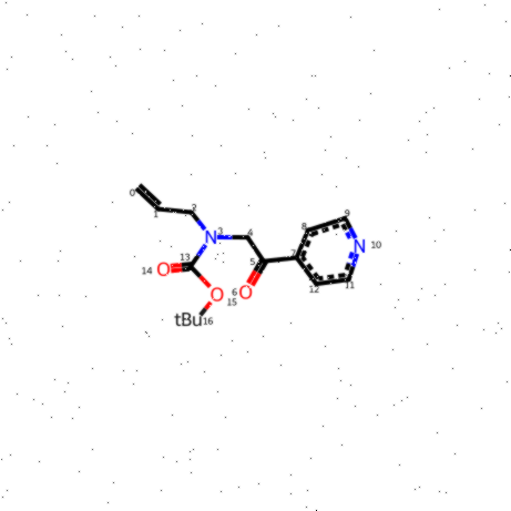 C=CCN(CC(=O)c1ccncc1)C(=O)OC(C)(C)C